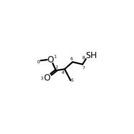 COC(=O)C(C)CCS